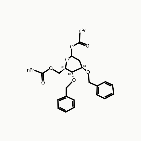 CCCC(=O)OC[C@H]1OC(OC(=O)CCC)C[C@@H](OCc2ccccc2)[C@@H]1OCc1ccccc1